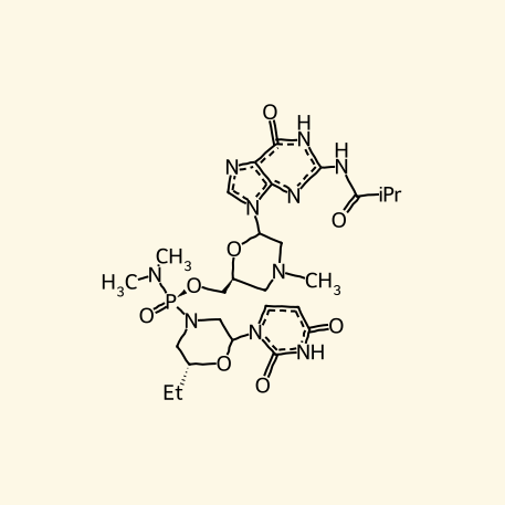 CC[C@@H]1CN([P@@](=O)(OC[C@@H]2CN(C)CC(n3cnc4c(=O)[nH]c(NC(=O)C(C)C)nc43)O2)N(C)C)CC(n2ccc(=O)[nH]c2=O)O1